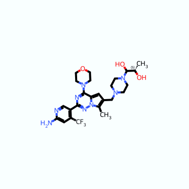 Cc1c(CN2CCN(C(O)[C@H](C)O)CC2)cc2c(N3CCOCC3)nc(-c3cnc(N)cc3C(F)(F)F)nn12